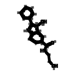 O=C(NCCO)c1ccc2nc(-c3ccccc3)n(O)c2c1